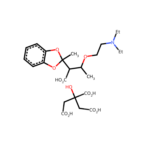 CCN(CC)CCOC(C)C(C(=O)O)C1(C)Oc2ccccc2O1.O=C(O)CC(O)(CC(=O)O)C(=O)O